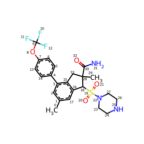 Cc1cc(-c2ccc(OC(F)(F)F)cc2)c2c(c1)C(S(=O)(=O)N1CCNCC1)C(C)(C(N)=O)C2